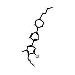 CCCCC1CCC(c2ccc(-c3cc(C)c(N=C=S)c(Cl)c3)cc2)CC1